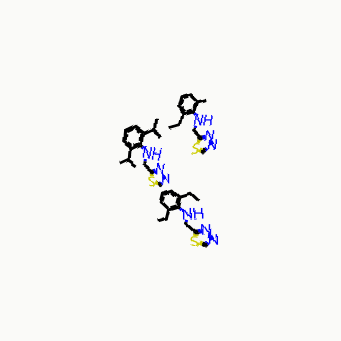 CC(C)c1cccc(C(C)C)c1NCc1nncs1.CCc1cccc(C)c1NCc1nncs1.CCc1cccc(CC)c1NCc1nncs1